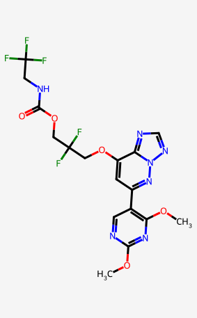 COc1ncc(-c2cc(OCC(F)(F)COC(=O)NCC(F)(F)F)c3ncnn3n2)c(OC)n1